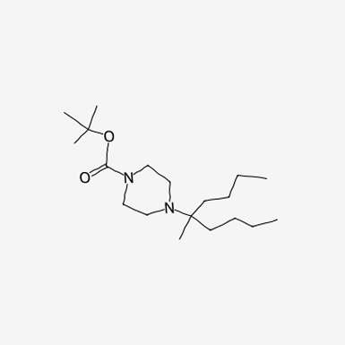 CCCCC(C)(CCCC)N1CCN(C(=O)OC(C)(C)C)CC1